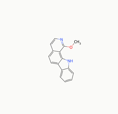 COc1nccc2ccc3c4ccccc4[nH]c3c12